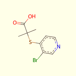 CC(C)(Sc1ccncc1Br)C(=O)O